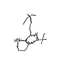 CC(C)(C)CCc1nc(C(C)(C)C)cc2c1NCCC2